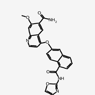 COc1cc2nccc(Oc3ccc4c(C(=O)Nc5ncco5)cccc4c3)c2cc1C(N)=O